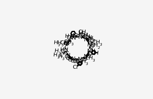 C=C(C)C[C@@H]1NC(=O)[C@H](Cc2cccc(I)c2)NC(=O)C(=O)N(C)C(=O)[C@H](Cc2ccc(Cl)cc2)N(C)C(=O)C(=O)N(C)C(=O)C(=O)N(C)C[C@H]([C@@H](C)CC)NC[C@H](CC(C)C)N(C)CC[C@@H](C(=O)N2CCCCC2)N(C)C(=O)[C@H](CC(C)C)NC(=O)C(C)(C)N(C)C1=O